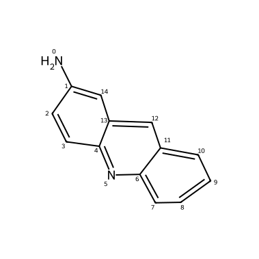 Nc1ccc2nc3ccccc3cc2c1